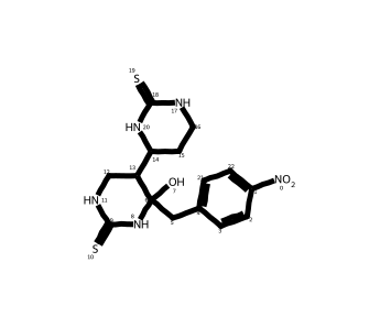 O=[N+]([O-])c1ccc(CC2(O)NC(=S)NCC2C2CCNC(=S)N2)cc1